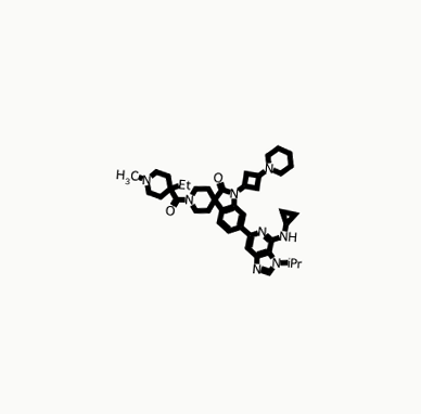 CCC1(C(=O)N2CCC3(CC2)C(=O)N(C2CC(N4CCCCC4)C2)c2cc(-c4cc5ncn(C(C)C)c5c(NC5CC5)n4)ccc23)CCN(C)CC1